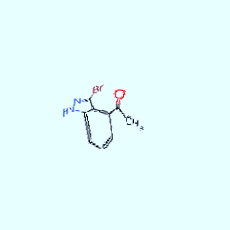 CC(=O)c1cccc2[nH]nc(Br)c12